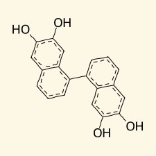 Oc1cc2cccc(-c3cccc4cc(O)c(O)cc34)c2cc1O